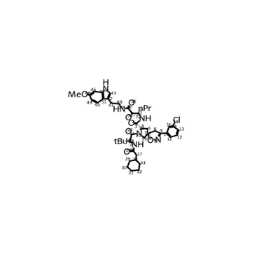 CCC[C@H](NC(=O)[C@@H]1C[C@]2(CC(c3cccc(Cl)c3)=NO2)CN1C(=O)[C@@H](NC(=O)CC1CCCCC1)C(C)(C)C)C(=O)C(=O)NCCc1c[nH]c2cc(OC)ccc12